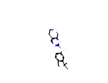 CC1(C)OCc2ccc(Nc3ncc4c(n3)CNCC4)cc21